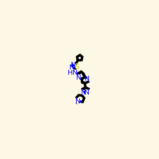 CN1CCC(n2cc(-c3cnc4ccc(Nc5nnc(C6CCCC6)s5)nc4c3)cn2)CC1